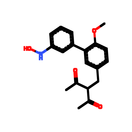 COc1ccc(CC(C(C)=O)C(C)=O)cc1-c1cccc(NO)c1